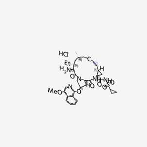 CC[C@@H]1C[C@H](C)CC/C=C\[C@@H]2C[C@@]2(C(=O)NS(=O)(=O)C2CC2)NC(=O)[C@@H]2C[C@@H](Oc3ncc(OC)c4ccccc34)CN2C(=O)[C@H]1N.Cl